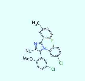 COc1ccc(Cl)cc1-c1c(C#N)nc(-c2cccc(C)c2)n1-c1cc(Cl)ccc1F